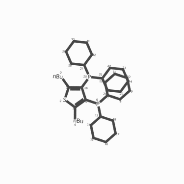 CCCCc1sc(CCCC)c(P(C2CCCCC2)C2CCCCC2)c1P(C1CCCCC1)C1CCCCC1